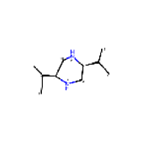 CC(C)[C@H]1CN[C@@H](C(C)C)CN1